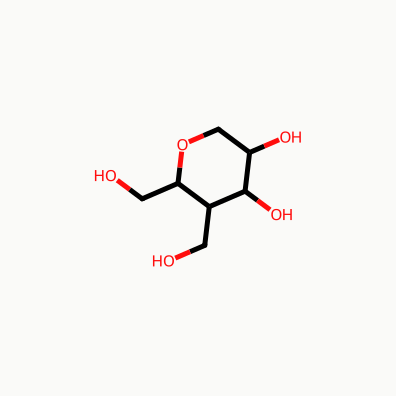 OCC1OCC(O)C(O)C1CO